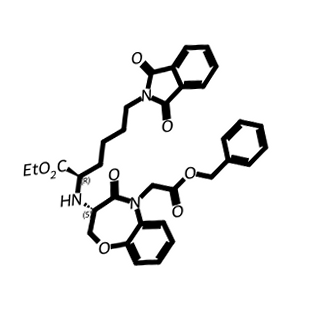 CCOC(=O)[C@@H](CCCCN1C(=O)c2ccccc2C1=O)N[C@H]1COc2ccccc2N(CC(=O)OCc2ccccc2)C1=O